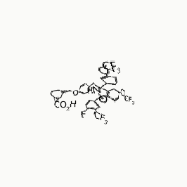 O=C(NC(Cc1ccc(OC[C@@H]2CCC[C@H](C(=O)O)C2)cc1)(c1cccc(OC(F)(F)F)c1)c1cccc(OC(F)(F)F)c1)c1ccc(F)c(C(F)(F)F)c1